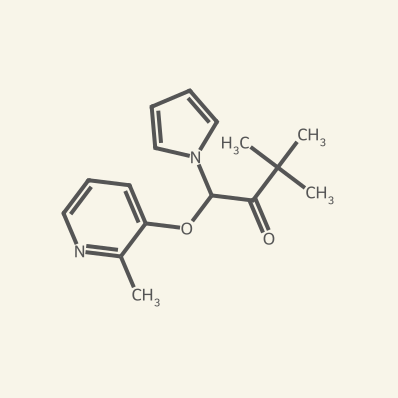 Cc1ncccc1OC(C(=O)C(C)(C)C)n1cccc1